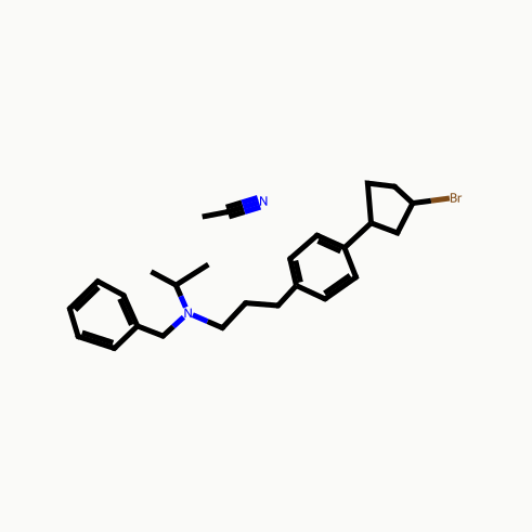 CC#N.CC(C)N(CCCc1ccc(C2CCC(Br)C2)cc1)Cc1ccccc1